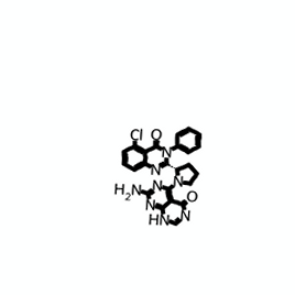 Nc1nc(N2CCC[C@H]2c2nc3cccc(Cl)c3c(=O)n2-c2ccccc2)c2c(=O)nc[nH]c2n1